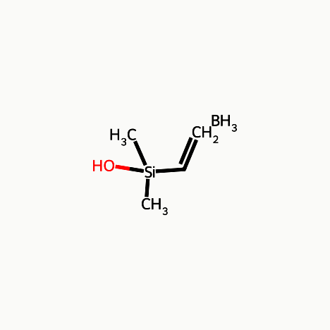 B.C=C[Si](C)(C)O